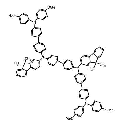 COc1ccc(N(c2ccc(C)cc2)c2ccc(-c3ccc(N(c4ccc(-c5ccc(N(c6ccc(-c7ccc(N(c8ccc(OC)cc8)c8ccc(OC)cc8)cc7)cc6)c6ccc7c(c6)C(C)(C)c6ccccc6-7)cc5)cc4)c4ccc5c(c4)C(C)(C)c4ccccc4-5)cc3)cc2)cc1